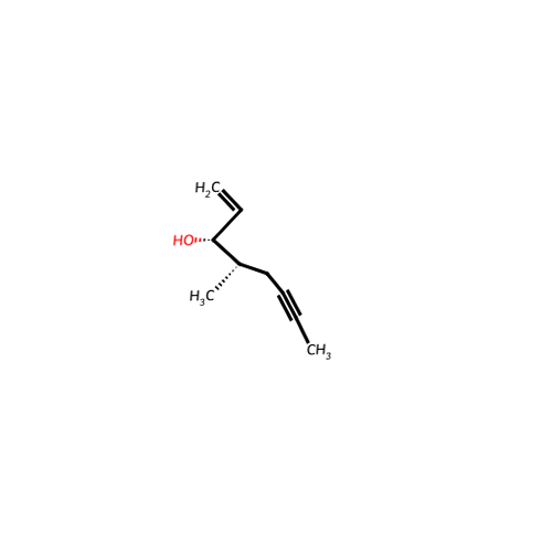 C=C[C@@H](O)[C@@H](C)CC#CC